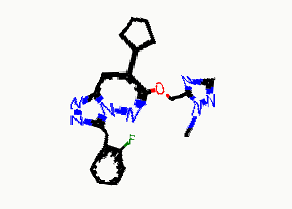 Cn1ncnc1COc1nn2c(-c3ccccc3F)nnc2cc1C1CCCC1